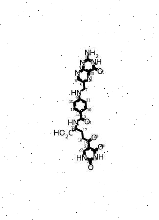 Nc1nc2ncc(CNc3ccc(C(=O)N[C@@H](CCC(=O)c4c[nH]c(=O)[nH]c4=O)C(=O)O)cc3)nc2c(=O)[nH]1